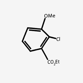 CCOC(=O)c1cccc(OC)c1Cl